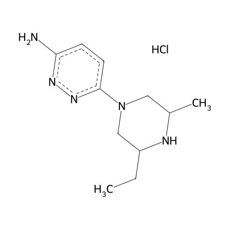 CCC1CN(c2ccc(N)nn2)CC(C)N1.Cl